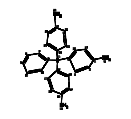 Nc1ccc(S(c2ccccc2)(c2ccc(N)cc2)c2ccc(N)cc2)cc1